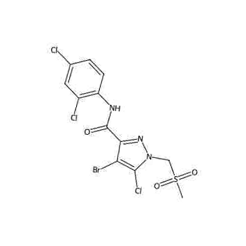 CS(=O)(=O)Cn1nc(C(=O)Nc2ccc(Cl)cc2Cl)c(Br)c1Cl